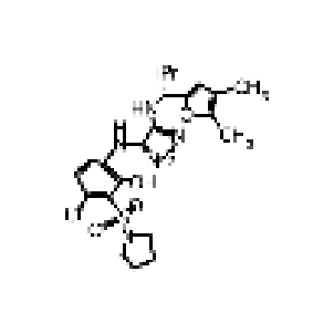 Cc1cc([C@H](Nc2nsnc2Nc2ccc(Cl)c(S(=O)(=O)N3CCCC3)c2O)C(C)C)oc1C